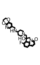 O=c1ccc2ccc(F)c3c2n1CC3(O)CN1CCC(NCc2cnc3c(c2)OCCO3)CC1